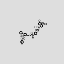 O=C(CCCc1ccc(-c2ccccc2)c(NC(=O)OC23CCN(CC2)CC3)c1)Nc1ccc(CNCC(O)c2ccc(O)c3[nH]c(=O)ccc23)cc1